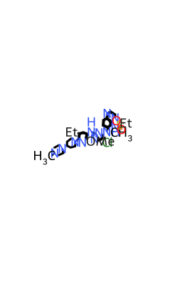 CCc1cc(Nc2ncc(Cl)c(Nc3ccc4nccnc4c3N(C)S(=O)(=O)CC)n2)c(OC)nc1N1CCC(N2CCN(C)CC2)CC1